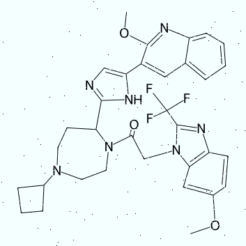 COc1ccc2nc(C(F)(F)F)n(CC(=O)N3CCN(C4CCC4)CCC3c3ncc(-c4cc5ccccc5nc4OC)[nH]3)c2c1